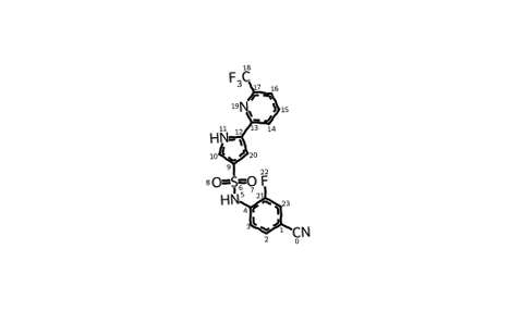 N#Cc1ccc(NS(=O)(=O)c2c[nH]c(-c3cccc(C(F)(F)F)n3)c2)c(F)c1